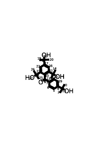 CC(C)(O)c1ccc(C(=O)c2c(C(C)(C)O)cc(C(C)(C)O)cc2C(C)(C)O)cc1